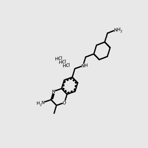 CC1Oc2ccc(CNCC3CCCC(CN)C3)cc2N=C1N.Cl.Cl.Cl